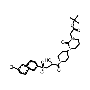 CC(C)(C)OC(=O)CN1CCCN(C2CCN(C(=O)[C@H](O)CS(=O)(=O)c3ccc4cc(Cl)ccc4c3)CC2)C1=O